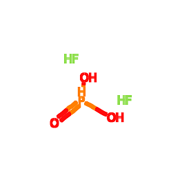 F.F.O=[PH](O)O